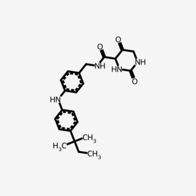 CCC(C)(C)c1ccc(Nc2ccc(CNC(=O)C3NC(=O)NCC3=O)cc2)cc1